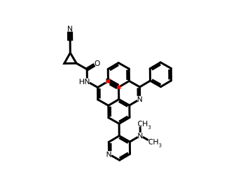 CN(C)c1ccncc1-c1cc(N=C(c2ccccc2)c2ccccc2)c2cnc(NC(=O)C3CC3C#N)cc2c1